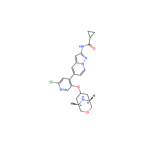 O=C(Nc1cc2cc(-c3cc(Cl)ncc3OC3C[C@H]4COC[C@@H](C3)N4)ccn2n1)C1CC1